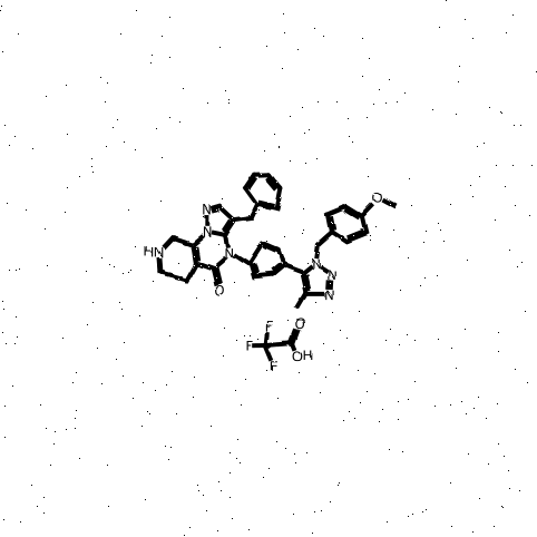 COc1ccc(Cn2nnc(C)c2-c2ccc(-n3c(=O)c4c(n5ncc(Cc6ccccc6)c35)CNCC4)cc2)cc1.O=C(O)C(F)(F)F